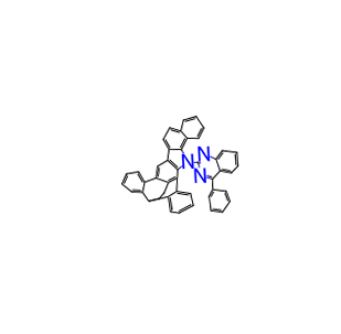 c1ccc(-c2nc(-n3c4c5c6c(cc4c4ccc7ccccc7c43)-c3ccccc3C(CC6)c3ccccc3-5)nc3ccccc23)cc1